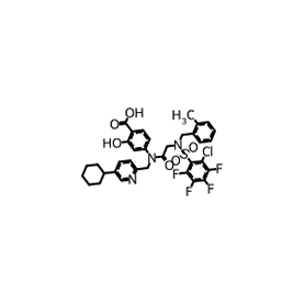 Cc1ccccc1CN(CC(=O)N(Cc1ccc(C2CCCCC2)cn1)c1ccc(C(=O)O)c(O)c1)S(=O)(=O)c1c(F)c(F)c(F)c(F)c1Cl